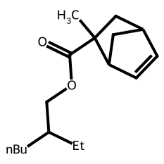 CCCCC(CC)COC(=O)C1(C)CC2C=CC1C2